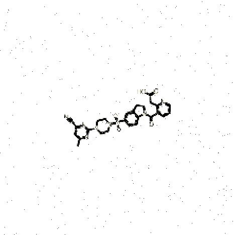 Cc1cc(C#N)nc(N2CCN(S(=O)(=O)c3ccc4c(c3)CCN4C(=O)c3cccnc3CC(=O)O)CC2)n1